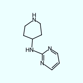 c1cnc(NC2CCNCC2)nc1